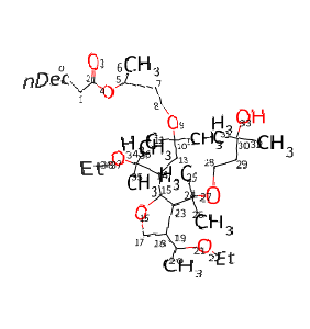 CCCCCCCCCCCC(=O)OC(C)CCOC(C)(C)CC(C1OCC(C(C)OCC)C1C(C)(C)OCCC(C)(C)O)C(C)(C)OCC